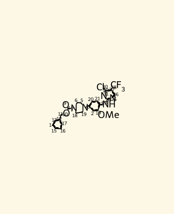 COc1cc(N2CCN(C(=O)OCc3ccccc3)CC2)ccc1Nc1ncc(C(F)(F)F)c(Cl)n1